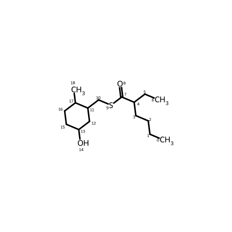 CCCCC(CC)C(=O)SCC1CC(O)CCC1C